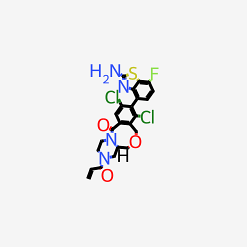 C=CC(=O)N1CCN2C(=O)c3cc(Cl)c(-c4ccc(F)c5sc(N)nc45)c(Cl)c3COC[C@H]2C1